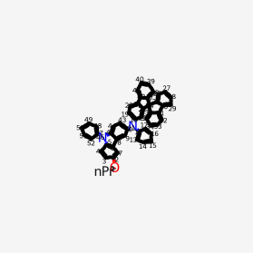 CCCOc1ccc2c(c1)c1cc(N(c3ccccc3)c3ccc4c(c3)C3(c5ccccc5-c5ccccc53)c3ccccc3-4)ccc1n2-c1ccccc1